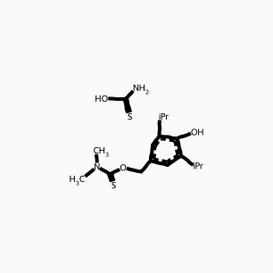 CC(C)c1cc(COC(=S)N(C)C)cc(C(C)C)c1O.NC(O)=S